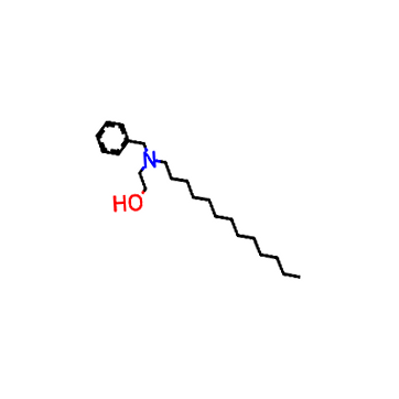 CCCCCCCCCCCCCN(CCO)Cc1ccccc1